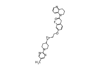 Cc1cnc(N2CCC([C@H]3C[C@H]3CCOc3ccc(CC(=O)N4CCCc5ncccc54)c(F)c3)CC2)nc1